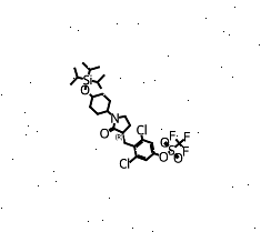 CC(C)[Si](OC1CCC(N2CC[C@@H](Cc3c(Cl)cc(OS(=O)(=O)C(F)(F)F)cc3Cl)C2=O)CC1)(C(C)C)C(C)C